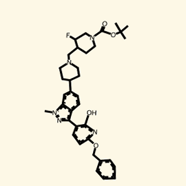 Cn1nc(-c2ccc(OCc3ccccc3)nc2O)c2ccc(C3CCN(CC4CCN(C(=O)OC(C)(C)C)CC4F)CC3)cc21